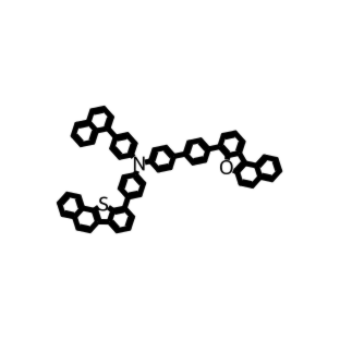 c1ccc2c(-c3ccc(N(c4ccc(-c5ccc(-c6cccc7c6oc6ccc8ccccc8c67)cc5)cc4)c4ccc(-c5cccc6c5sc5c7ccccc7ccc65)cc4)cc3)cccc2c1